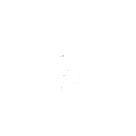 CC(C)NC(=O)COC1CCCCCc2c1nnn2C(C)C